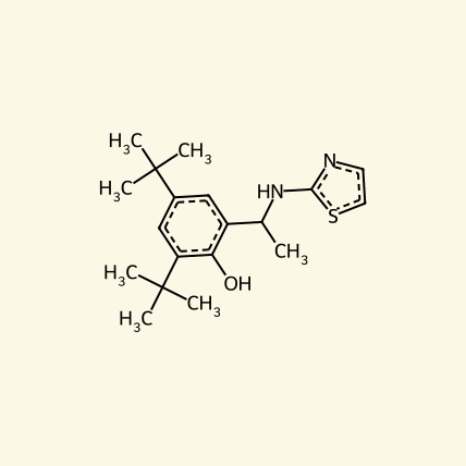 CC(Nc1nccs1)c1cc(C(C)(C)C)cc(C(C)(C)C)c1O